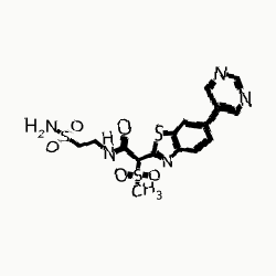 CS(=O)(=O)C(C(=O)NCCS(N)(=O)=O)c1nc2ccc(-c3cncnc3)cc2s1